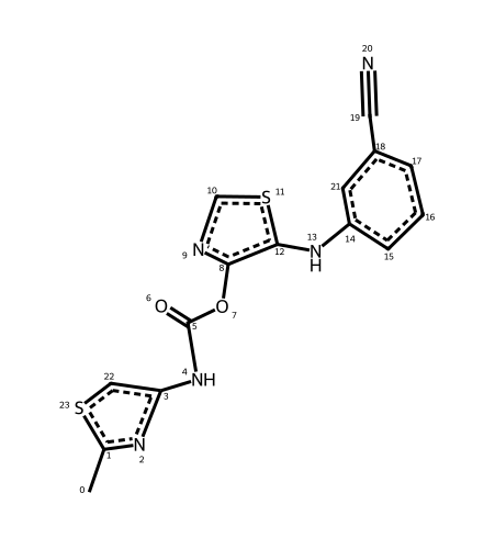 Cc1nc(NC(=O)Oc2ncsc2Nc2cccc(C#N)c2)cs1